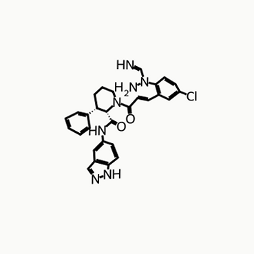 N=CN(N)c1ccc(Cl)cc1/C=C/C(=O)N1CCC[C@@H](c2ccccc2)[C@H]1C(=O)Nc1ccc2[nH]ncc2c1